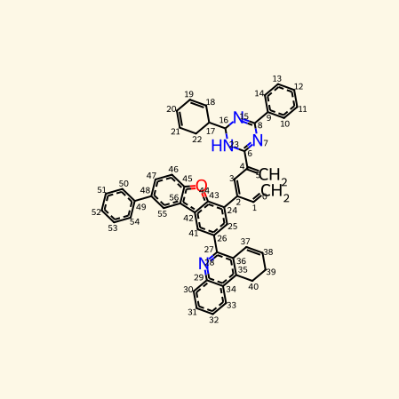 C=C/C(=C\C(=C)C1=NC(c2ccccc2)=NC(C2C=CC=CC2)N1)c1cc(-c2nc3ccccc3c3c2C=CCC3)cc2c1oc1ccc(-c3ccccc3)cc12